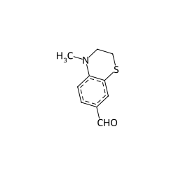 CN1CCSc2cc(C=O)ccc21